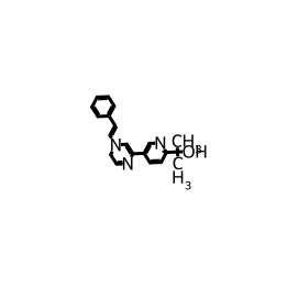 CC(C)(O)c1ccc(C2=CN(C=Cc3ccccc3)CC=N2)cn1